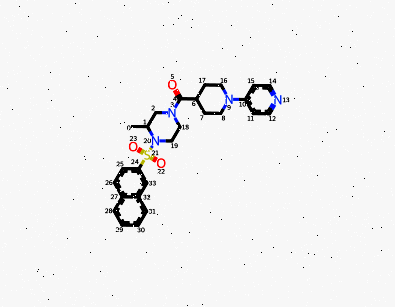 CC1CN(C(=O)C2CCN(c3ccncc3)CC2)CCN1S(=O)(=O)c1ccc2ccccc2c1